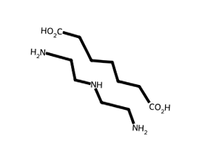 NCCNCCN.O=C(O)CCCCCC(=O)O